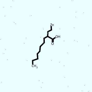 CCCCCCCCC(C[CH2][Zn])C(=O)O